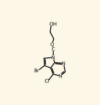 OCCOCn1cc(Br)c2c(Cl)ncnc21